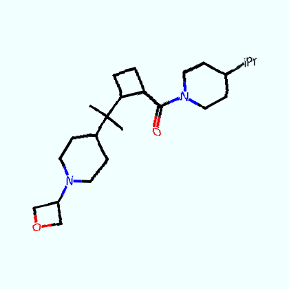 CC(C)C1CCN(C(=O)C2CCC2C(C)(C)C2CCN(C3COC3)CC2)CC1